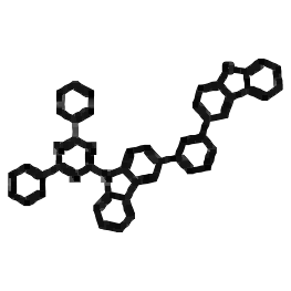 c1ccc(-c2nc(-c3ccccc3)nc(-n3c4ccccc4c4cc(-c5cccc(-c6ccc7oc8ccccc8c7c6)c5)ccc43)n2)cc1